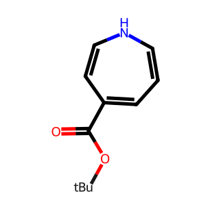 CC(C)(C)OC(=O)C1=CC=CNC=C1